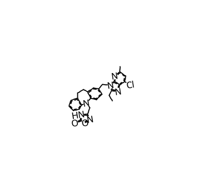 CCc1nc2c(Cl)cc(C)nc2n1Cc1ccc2c(c1)CCc1ccccc1N2Cc1noc(=O)[nH]1